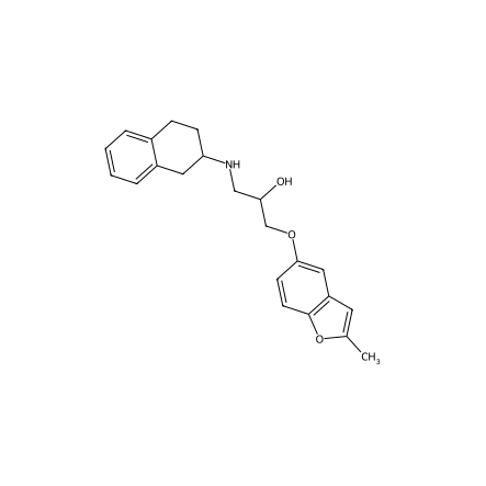 Cc1cc2cc(OCC(O)CNC3CCc4ccccc4C3)ccc2o1